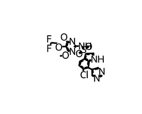 COc1nc(NS(=O)(=O)c2c[nH]c3c(-c4cncnc4)c(Cl)ccc23)nc(OC)c1OCC(F)F